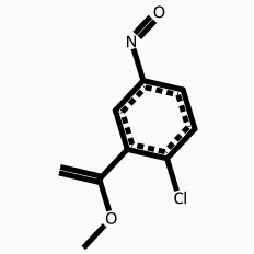 C=C(OC)c1cc(N=O)ccc1Cl